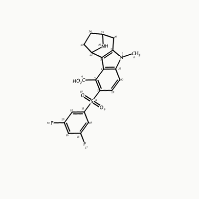 Cn1c2c(c3c(C(=O)O)c(S(=O)(=O)c4cc(F)cc(F)c4)ccc31)C1CCC(C2)N1